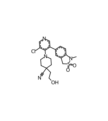 CN1c2ccc(-c3cncc(Cl)c3N3CCC(C#N)(CCO)CC3)cc2CS1(=O)=O